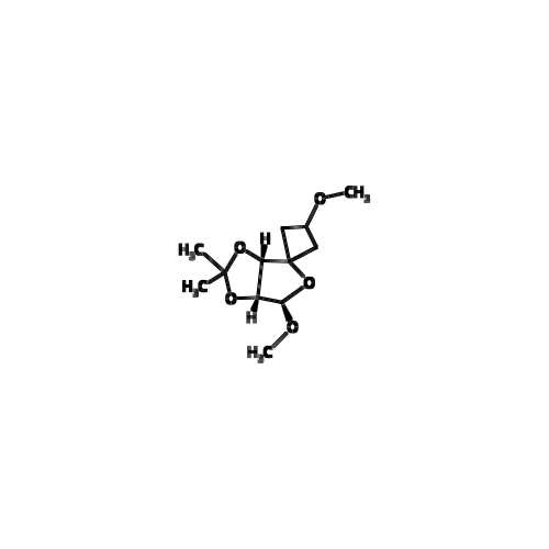 COC1CC2(C1)O[C@@H](OC)[C@@H]1OC(C)(C)O[C@@H]12